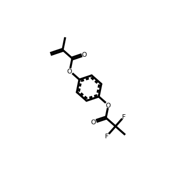 C=C(C)C(=O)Oc1ccc(OC(=O)C(C)(F)F)cc1